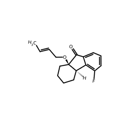 C/C=C/CO[C@]12CCCC[C@@H]1c1c(F)cccc1C2=O